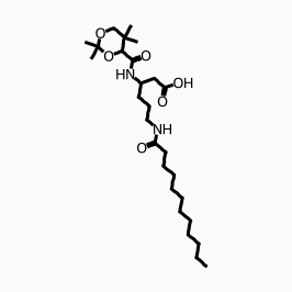 CCCCCCCCCCCC(=O)NCCCC(CC(=O)O)NC(=O)C1OC(C)(C)OCC1(C)C